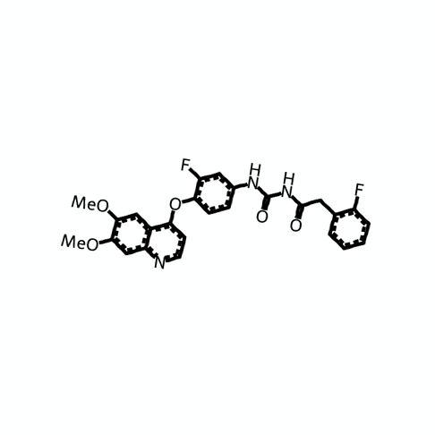 COc1cc2nccc(Oc3ccc(NC(=O)NC(=O)Cc4ccccc4F)cc3F)c2cc1OC